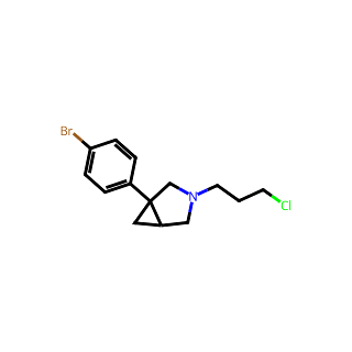 ClCCCN1CC2CC2(c2ccc(Br)cc2)C1